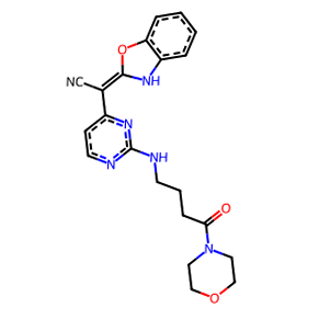 N#CC(=C1Nc2ccccc2O1)c1ccnc(NCCCC(=O)N2CCOCC2)n1